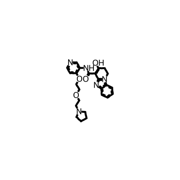 O=C(Nc1cnccc1OCCOCCN1CCCC1)C1=C(O)CCn2c1nc1ccccc12